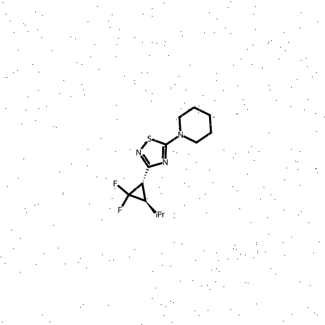 CC(C)[C@@H]1[C@@H](c2nsc(N3CCCCC3)n2)C1(F)F